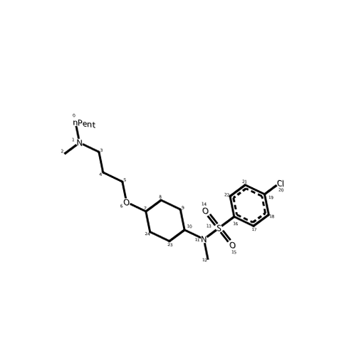 CCCCCN(C)CCCOC1CCC(N(C)S(=O)(=O)c2ccc(Cl)cc2)CC1